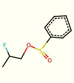 CC(F)COS(=O)c1ccccc1